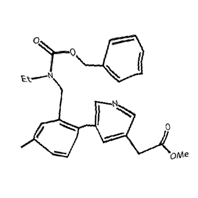 CCN(Cc1cc(C)ccc1-c1cncc(CC(=O)OC)c1)C(=O)OCc1ccccc1